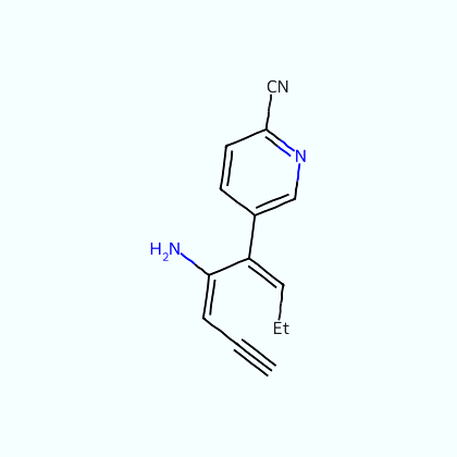 C#C/C=C(N)\C(=C/CC)c1ccc(C#N)nc1